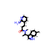 Cc1ccc2c(C(C)N(C)C(=O)/C=C/c3cccnc3N)c[nH]c2c1